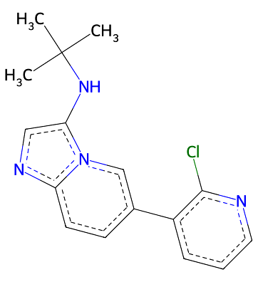 CC(C)(C)Nc1cnc2ccc(-c3cccnc3Cl)cn12